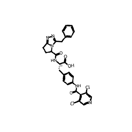 O=C(Nc1ccc(C[C@H](NC(=O)C2CCc3nnc(Cc4ccccc4)n32)C(=O)O)cc1)c1c(Cl)cncc1Cl